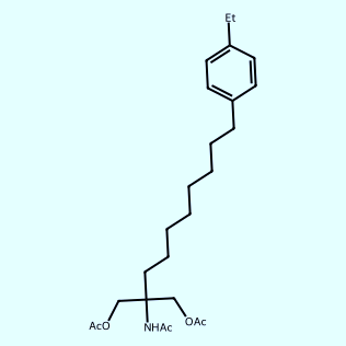 CCc1ccc(CCCCCCCCC(COC(C)=O)(COC(C)=O)NC(C)=O)cc1